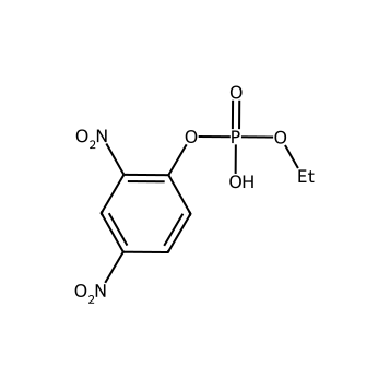 CCOP(=O)(O)Oc1ccc([N+](=O)[O-])cc1[N+](=O)[O-]